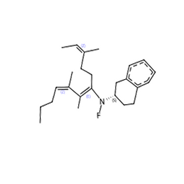 C/C=C(/C)CC/C(=C(C)\C(C)=C/CCC)N(F)[C@H]1CCc2ccccc2C1